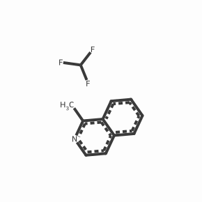 Cc1nccc2ccccc12.FC(F)F